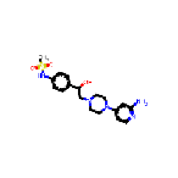 CS(=O)(=O)Nc1ccc(C(O)CN2CCN(c3ccnc(N)c3)CC2)cc1